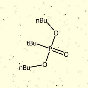 CCCCOP(=O)(OCCCC)C(C)(C)C